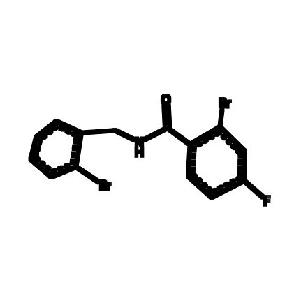 O=C(NCc1ccccc1Br)c1ccc(F)cc1Br